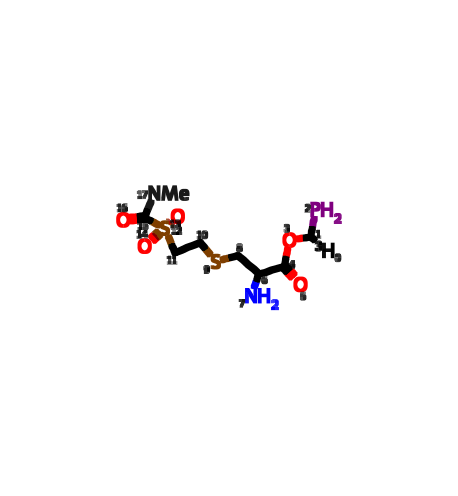 [3H]C(P)OC(=O)C(N)CSCCS(=O)(=O)C(=O)NC